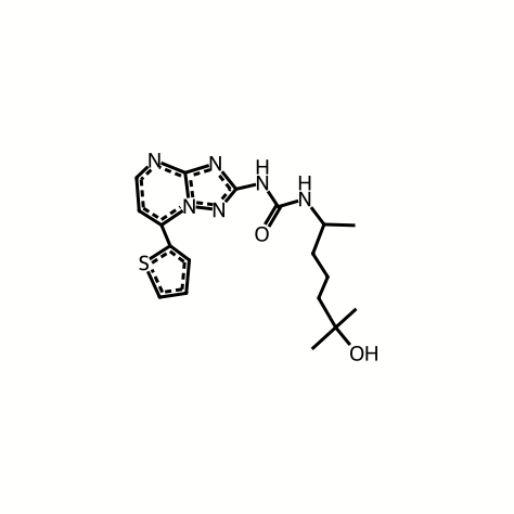 CC(CCCC(C)(C)O)NC(=O)Nc1nc2nccc(-c3cccs3)n2n1